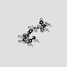 Cc1ncsc1-c1ccc([C@H](C)NC(=O)[C@@H]2C[C@@H](O)CN2C(=O)[C@@H](NC(=O)c2cc3cc(O[C@@H](C)CNC(=O)C[C@@H]4N=C(c5ccc(Cl)cc5)c5c(sc(C)c5C)-n5c(C)nnc54)ccc3o2)C(C)(C)C)cc1